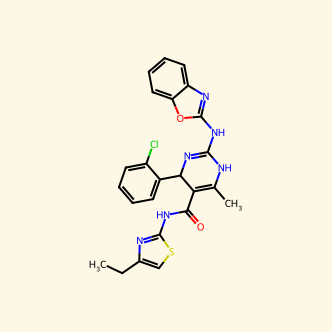 CCc1csc(NC(=O)C2=C(C)NC(Nc3nc4ccccc4o3)=NC2c2ccccc2Cl)n1